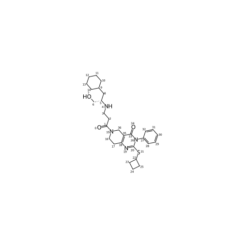 O=C(CCN[C@H](CO)CC1CCCCC1)N1CCc2nc(SC3CCC3)n(-c3ccccc3)c(=O)c2C1